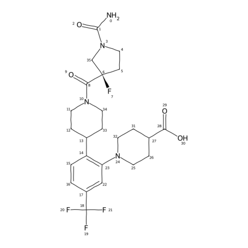 NC(=O)N1CC[C@](F)(C(=O)N2CCC(c3ccc(C(F)(F)F)cc3N3CCC(C(=O)O)CC3)CC2)C1